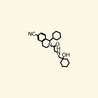 N#Cc1ccc2c(c1)CCN(C(=O)CNCC1(O)CCCCC1)C2C1CCCCC1